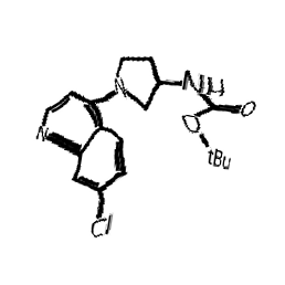 CC(C)(C)OC(=O)NC1CCN(c2ccnc3cc(Cl)ccc23)C1